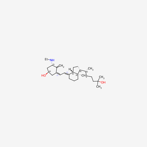 C=C1/C(=C\C=C2/CCC[C@]3(C)[C@@H]([C@H](C)CCCC(C)(C)O)CC[C@@H]23)C[C@@H](O)C[C@@H]1NCC